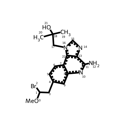 COC(Br)Cc1ccc2c(c1)nc(N)c1ncn(CC(C)(C)O)c12